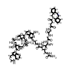 CC(C)[C@H](NC(=O)CNC(=O)CNC(=O)CCC(=O)N1Cc2ccccc2/C=C\c2ccccc21)C(=O)N[C@@H](CCCNC(N)=O)C(=O)NCCNc1nc(N)c2ncn([C@@H]3O[C@@H]4COP(=O)(S)O[C@H]5[C@@H](O)[C@H](n6cc7c8c(ncnc86)NCCC7)O[C@@H]5COP(=O)(S)O[C@@H]3[C@@H]4O)c2n1